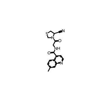 Cc1ccc2c(C(=O)NCC(=O)N3CSCC3C#N)ccnc2c1